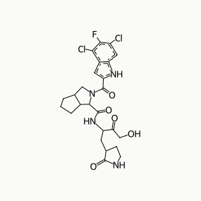 O=C1NCCC1CC(NC(=O)C1C2CCCC2CN1C(=O)c1cc2c(Cl)c(F)c(Cl)cc2[nH]1)C(=O)CO